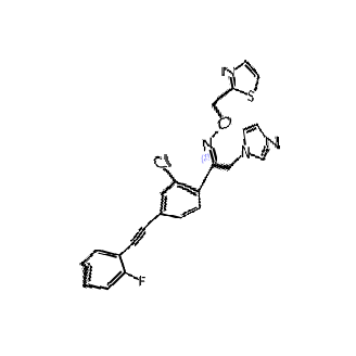 Fc1ccccc1C#Cc1ccc(/C(Cn2ccnc2)=N/OCc2nccs2)c(Cl)c1